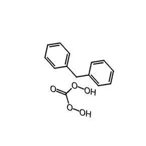 O=C(OO)OO.c1ccc(Cc2ccccc2)cc1